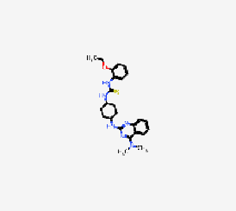 CCOc1ccccc1NC(=S)NC1CCC(Nc2nc(N(C)C)c3ccccc3n2)CC1